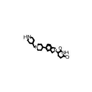 O=C1CCC(N2Cc3ccc(C4CCN(CC5CCNCC5)CC4)cc3C2)C(=O)N1